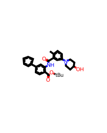 Cc1ccc(N2CCC(O)CC2)cc1C(=O)Nc1cc(-c2ccccc2)ccc1C(=O)OC(C)(C)C